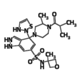 CC(C)C(=O)N1CCN(C2(N3NC=CS3)C=C(S(=O)(=O)NC3(C)COC3)C=C3NNC=C32)CC1C